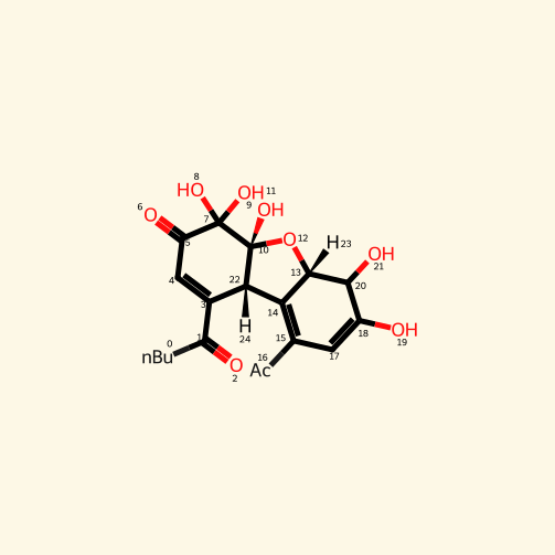 CCCCC(=O)C1=CC(=O)C(O)(O)[C@]2(O)O[C@H]3C(=C(C(C)=O)C=C(O)C3O)[C@H]12